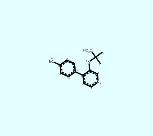 CC(C)(Sc1cnccc1-c1ccc(C#N)cc1)C(=O)O